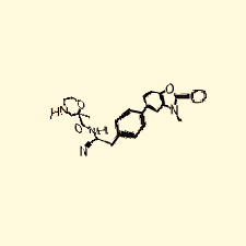 Cn1c(=O)oc2ccc(-c3ccc(C[C@@H](C#N)NC(=O)[C@]4(C)CNCCO4)cc3)cc21